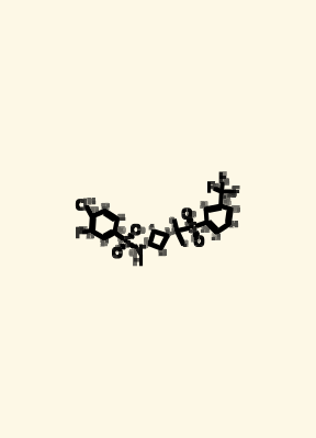 CC(C)([C@H]1C[C@@H](NS(=O)(=O)c2ccc(Cl)c(F)c2)C1)S(=O)(=O)c1cccc(C(F)(F)F)c1